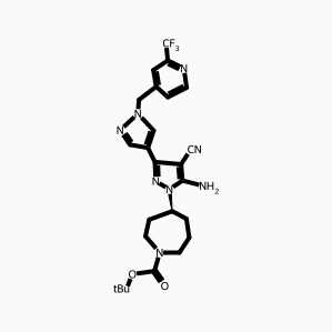 CC(C)(C)OC(=O)N1CCC[C@H](n2nc(-c3cnn(Cc4ccnc(C(F)(F)F)c4)c3)c(C#N)c2N)CC1